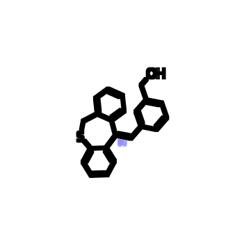 OCc1cccc(/C=C2\c3ccccc3CSc3ccccc32)c1